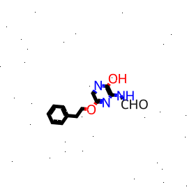 O=CNc1nc(OCCc2ccccc2)cnc1O